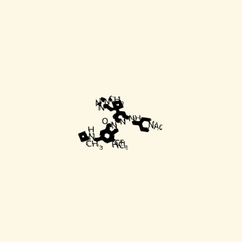 CC(=O)N1CCC(CNc2cc(C3(Cc4nncn4C)CCC3)cc(N3Cc4c(cc(CNC5(C)CCC5)cc4C(F)(F)F)C3=O)n2)CC1.Cl